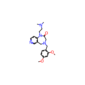 COc1ccc(CN2CC(=O)N(CCN(C)C)c3ccncc3C2)c(OC)c1